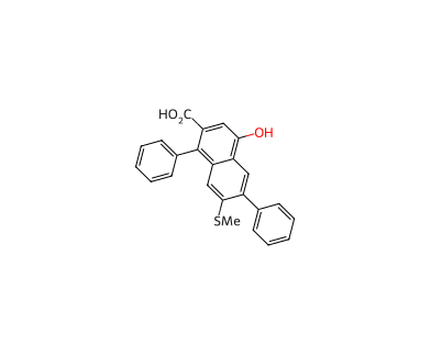 CSc1cc2c(-c3ccccc3)c(C(=O)O)cc(O)c2cc1-c1ccccc1